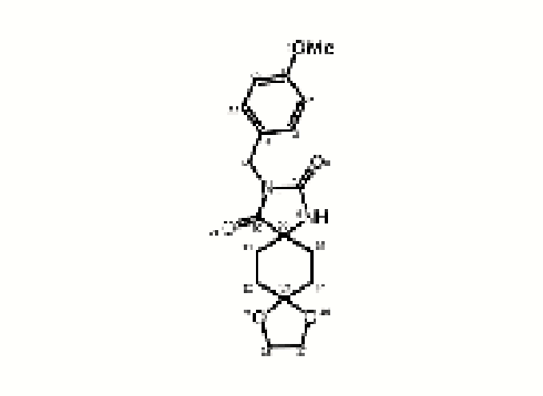 COc1ccc(CN2C(=O)NC3(CCC4(CC3)OCCO4)C2=O)cc1